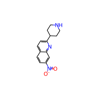 O=[N+]([O-])c1ccc2ccc(C3CCNCC3)nc2c1